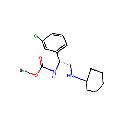 CC(C)(C)OC(=O)N[C@@H](CNC1CCCCC1)c1cccc(Cl)c1